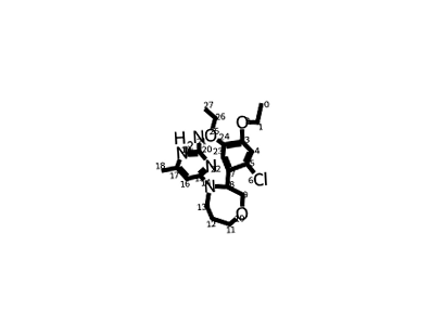 CCOc1cc(Cl)c(C2COCCCN2c2cc(C)nc(N)n2)cc1OCC